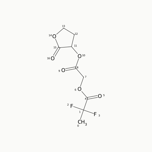 CC(F)(F)C(=O)OCC(=O)OC1CCOC1=O